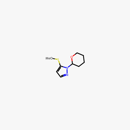 COSc1ccnn1C1CCCCO1